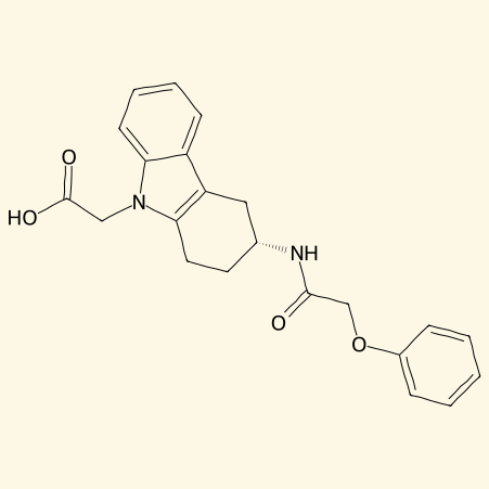 O=C(O)Cn1c2c(c3ccccc31)C[C@H](NC(=O)COc1ccccc1)CC2